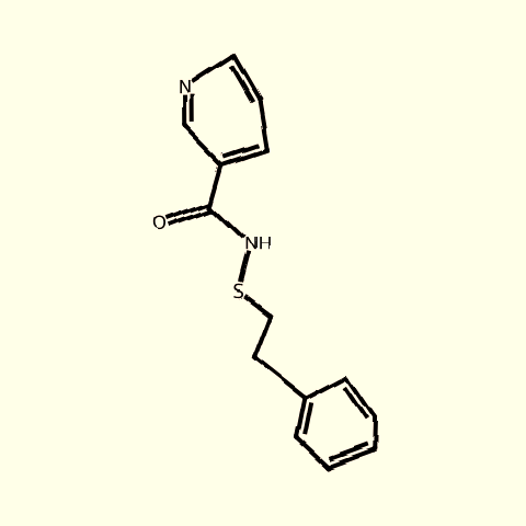 O=C(NSCCc1ccccc1)c1cccnc1